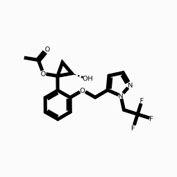 CC(=O)OC1(c2ccccc2OCc2ccnn2CC(F)(F)F)C[C@@H]1O